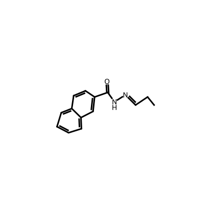 CCC=NNC(=O)c1ccc2ccccc2c1